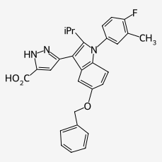 Cc1cc(-n2c(C(C)C)c(-c3cc(C(=O)O)[nH]n3)c3cc(OCc4ccccc4)ccc32)ccc1F